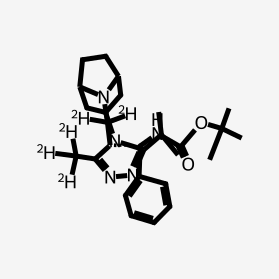 [2H]C([2H])([2H])c1nnc(C(C)C)n1C1CC2CCC(C1)N2C([2H])([2H])C[C@H](NC(=O)OC(C)(C)C)c1ccccc1